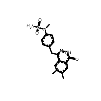 Cc1cc2c(Cc3ccc(N(C)S(N)(=O)=O)cc3)n[nH]c(=O)c2cc1C